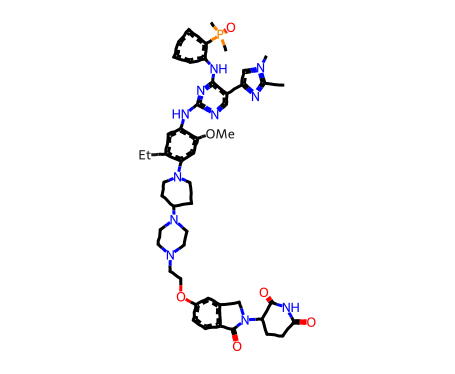 CCc1cc(Nc2ncc(-c3cn(C)c(C)n3)c(Nc3ccccc3P(C)(C)=O)n2)c(OC)cc1N1CCC(N2CCN(CCOc3ccc4c(c3)CN(C3CCC(=O)NC3=O)C4=O)CC2)CC1